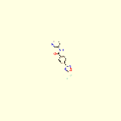 CN1CCCC(NC(=O)c2ccc(-c3noc(C(F)(F)F)n3)cc2)C1